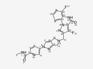 CNC(=O)c1ccc(-n2cc3c(n2)CN(Cc2nn4c(c2F)c(=O)[nH]c2c(F)cccc24)C3)cn1